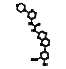 COc1cc(-c2ccc3ncc(NC(=O)Nc4ccnc(N5CCOCC5)c4)nc3n2)ccc1O